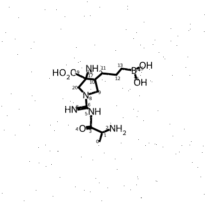 CC(N)C(=O)NC(=N)N1CC(CCCB(O)O)C(N)(C(=O)O)C1